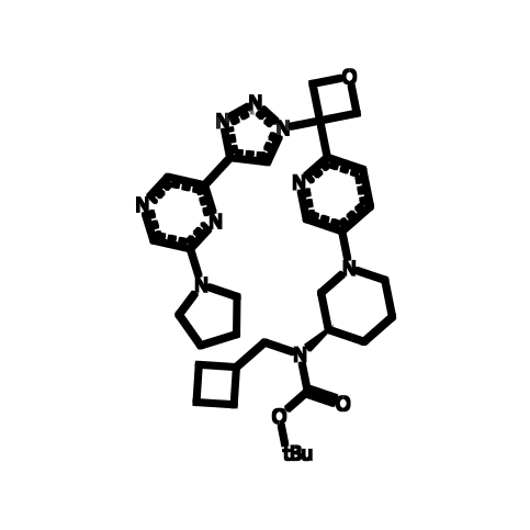 CC(C)(C)OC(=O)N(CC1CCC1)[C@@H]1CCCN(c2ccc(C3(n4cc(-c5cncc(N6CCCC6)n5)nn4)COC3)nc2)C1